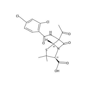 CC(=O)C1(NC(=O)c2ccc(Cl)cc2Cl)C(=O)N2[C@@H](C(=O)O)C(C)(C)S[C@@H]21